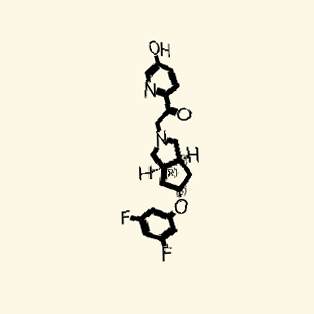 O=C(CN1C[C@H]2C[C@H](Oc3cc(F)cc(F)c3)C[C@H]2C1)c1ccc(O)cn1